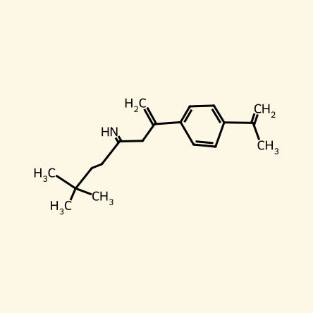 C=C(C)c1ccc(C(=C)CC(=N)CCC(C)(C)C)cc1